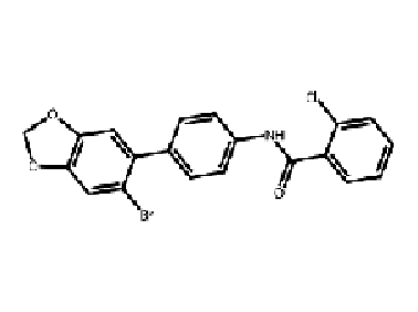 O=C(Nc1ccc(-c2cc3c(cc2Br)OCO3)cc1)c1ccccc1Cl